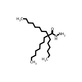 CCCCCCCCC(CCCCCC)(CCCCCCCC)C(=O)NN